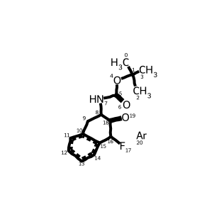 CC(C)(C)OC(=O)NC1Cc2ccccc2C(F)C1=O.[Ar]